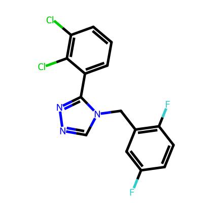 Fc1ccc(F)c(Cn2cnnc2-c2cccc(Cl)c2Cl)c1